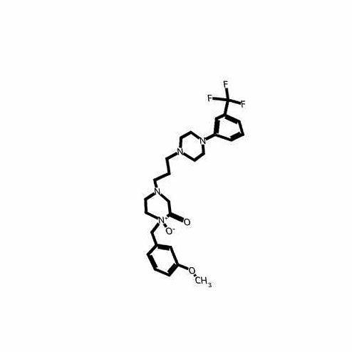 COc1cccc(C[N+]2([O-])CCN(CCCN3CCN(c4cccc(C(F)(F)F)c4)CC3)CC2=O)c1